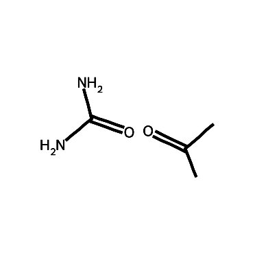 CC(C)=O.NC(N)=O